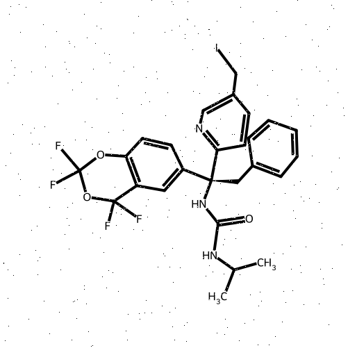 CC(C)NC(=O)N[C@](Cc1ccccc1)(c1ccc2c(c1)C(F)(F)OC(F)(F)O2)c1ccc(CI)cn1